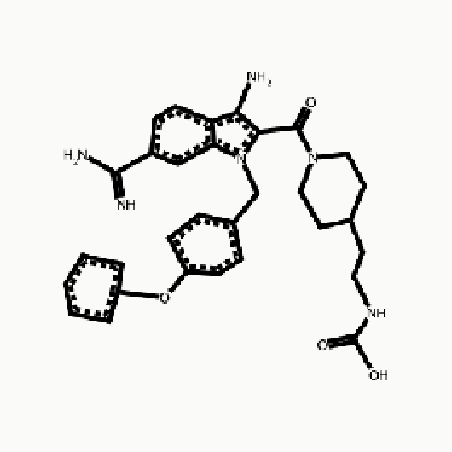 N=C(N)c1ccc2c(N)c(C(=O)N3CCC(CCNC(=O)O)CC3)n(Cc3ccc(Oc4ccccc4)cc3)c2c1